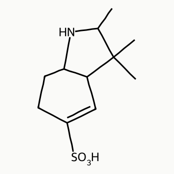 CC1NC2CCC(S(=O)(=O)O)=CC2C1(C)C